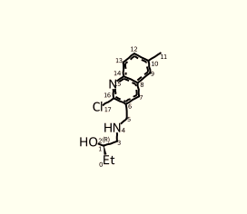 CC[C@@H](O)CNCc1cc2cc(C)ccc2nc1Cl